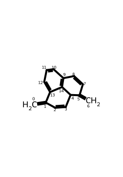 C=C1C=CC2C(=C)C=Cc3cccc1c32